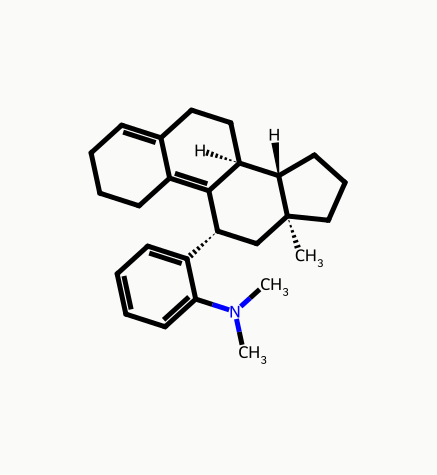 CN(C)c1ccccc1[C@H]1C[C@]2(C)CCC[C@H]2[C@@H]2CCC3=CCCCC3=C21